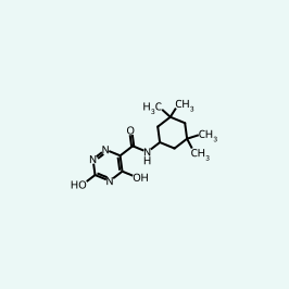 CC1(C)CC(NC(=O)c2nnc(O)nc2O)CC(C)(C)C1